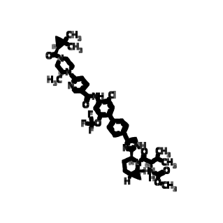 COC(=O)N[C@H](C(=O)N1[C@@H]2C[C@@H]2CC[C@H]1c1nc(-c2ccc(-c3cc(Cl)c(NC(=O)c4ccc(N5CCN(C(=O)[C@H]6CC6(C)C)C[C@H]5C)nc4)cc3OC(F)(F)F)cc2)c[nH]1)C(C)C